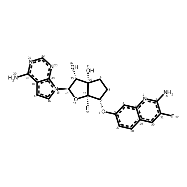 Nc1nc2cc(O[C@H]3CC[C@@]4(O)[C@@H]3O[C@@H](n3ccc5c(N)ncnc53)[C@@H]4O)ccc2cc1F